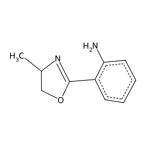 CC1COC(c2ccccc2N)=N1